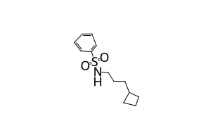 O=S(=O)(NCCCC1CCC1)c1ccccc1